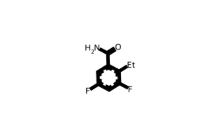 CCc1c(F)cc(F)cc1C(N)=O